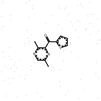 Cc1cnc(C)c(C(=O)c2cccs2)n1